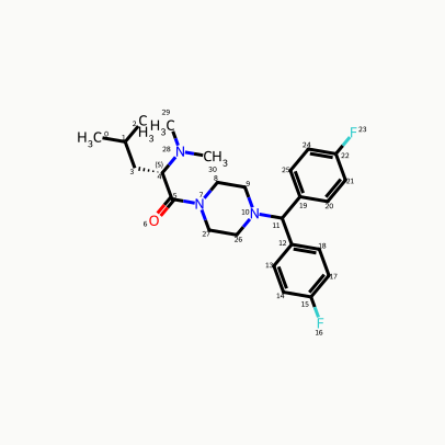 CC(C)C[C@@H](C(=O)N1CCN(C(c2ccc(F)cc2)c2ccc(F)cc2)CC1)N(C)C